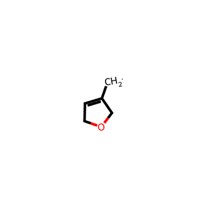 [CH2]C1=CCOC1